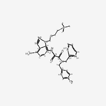 C[Si](C)(C)CCOCn1ncc2c(N)ncc(NC(=O)C(=O)N(Cc3ccc(C#N)cn3)Cc3ncccn3)c21